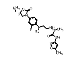 CCN(CCNN(C)C(=O)Nc1cc(C)on1)c1ccc(N2C[C@H](CN)OC2=O)cc1F